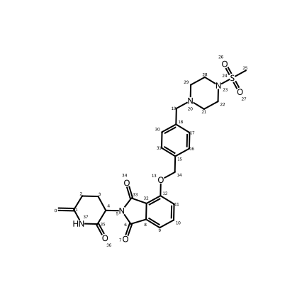 C=C1CCC(N2C(=O)c3cccc(OCc4ccc(CN5CCN(S(C)(=O)=O)CC5)cc4)c3C2=O)C(=O)N1